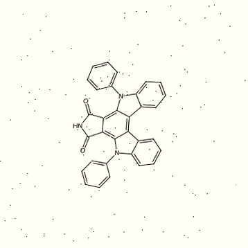 O=C1NC(=O)c2c1c1c(c3ccccc3n1-c1ccccc1)c1c3ccccc3n(-c3ccccc3)c21